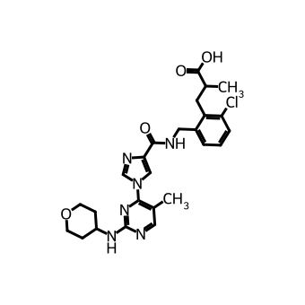 Cc1cnc(NC2CCOCC2)nc1-n1cnc(C(=O)NCc2cccc(Cl)c2CC(C)C(=O)O)c1